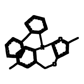 Cc1ccc2c(c1)COc1cc(C)oc1N2c1ccccc1-c1ccccc1